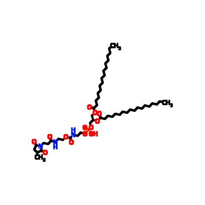 CCCCCCCCCCCCCCCCCC(=O)OC[C@H](COP(=O)(O)OCCNC(=O)OCCNC(=O)CCN1C(=O)CC(C)C1=O)OC(=O)CCCCCCCCCCCCCCCCC